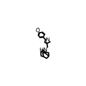 COc1ccc(C2=NCC(CNC34CC5CC(CC(C5)C3)C4)=C2)cc1